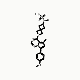 COc1ccc(-c2cc(C)c3c(N4CC5(CC(N(C)S(N)(=O)=O)C5)C4)ncnn23)cc1